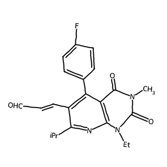 CCn1c(=O)n(C)c(=O)c2c(-c3ccc(F)cc3)c(C=CC=O)c(C(C)C)nc21